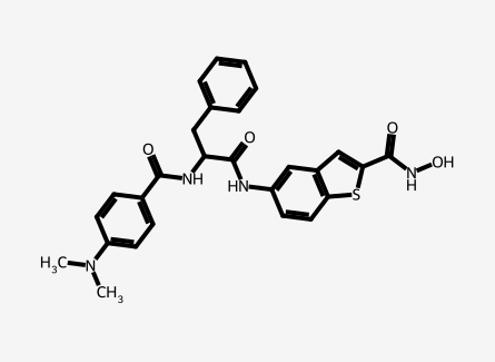 CN(C)c1ccc(C(=O)NC(Cc2ccccc2)C(=O)Nc2ccc3sc(C(=O)NO)cc3c2)cc1